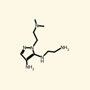 CN(C)CCn1ncc(N)c1NCCN